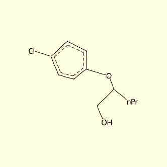 CCCC(CO)Oc1ccc(Cl)cc1